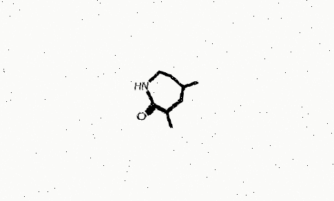 CC1CCNC(=O)C(C)C1